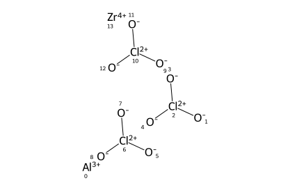 [Al+3].[O-][Cl+2]([O-])[O-].[O-][Cl+2]([O-])[O-].[O-][Cl+2]([O-])[O-].[Zr+4]